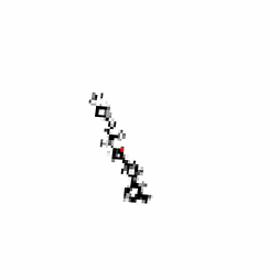 O=C(CO[C@H]1C[C@@H](OC(F)(F)F)C1)NC12CC(c3nnc(-c4cncc(F)c4)o3)(C1)C2